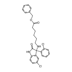 O=C(CCCCCNC1(c2ccccc2Cl)C(=O)Nc2ccc(Cl)cc21)OCc1ccccc1